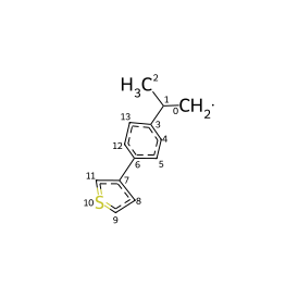 [CH2]C(C)c1ccc(-c2ccsc2)cc1